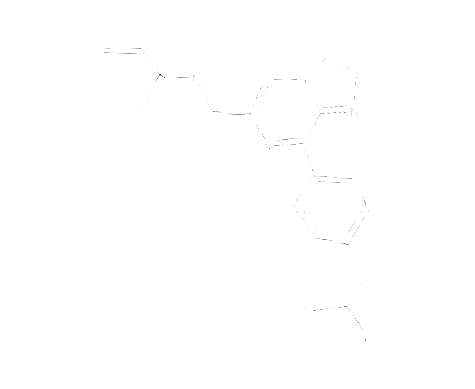 C=CC(=O)NCc1cn2ccnc2c(-c2ccc(OC(F)F)cc2)n1